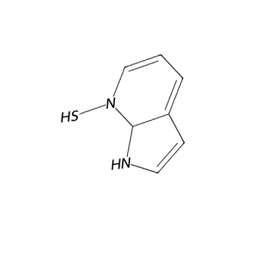 SN1C=CC=C2C=CNC21